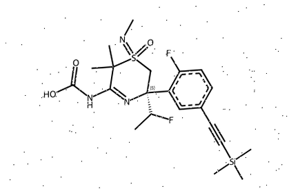 CN=S1(=O)C[C@](c2cc(C#C[Si](C)(C)C)ccc2F)(C(C)F)N=C(NC(=O)O)C1(C)C